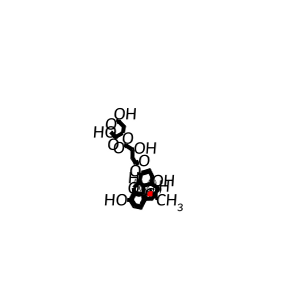 CN1CC[C@]23c4c5ccc(O)c4O[C@H]2C(OC(=O)CC(O)C(=O)OC(CC(=O)O)C(=O)O)=CC[C@@]3(O)[C@H]1C5